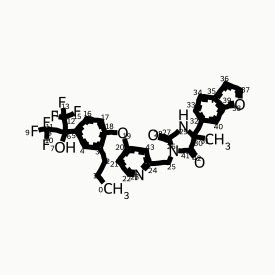 CCCc1cc(C(O)(C(F)(F)F)C(F)(F)F)ccc1Oc1ccnc(CN2C(=O)NC(C)(c3ccc4ccoc4c3)C2=O)c1